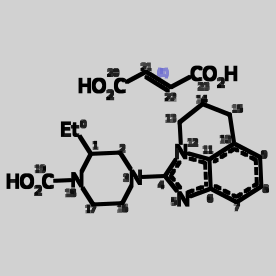 CCC1CN(c2nc3cccc4c3n2CCC4)CCN1C(=O)O.O=C(O)/C=C/C(=O)O